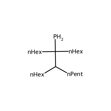 CCCCCCC(CCCCC)C(P)(CCCCCC)CCCCCC